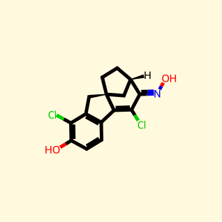 O/N=C1/C(Cl)=C2c3ccc(O)c(Cl)c3C[C@]23CC[C@H]1C3